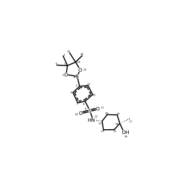 CC1(C)OB(c2ccc(S(=O)(=O)N[C@H]3CC[C@](C)(O)CC3)cc2)OC1(C)C